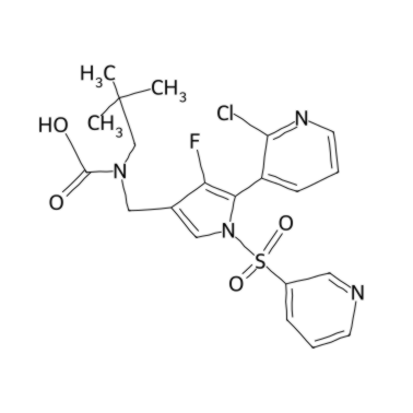 CC(C)(C)CN(Cc1cn(S(=O)(=O)c2cccnc2)c(-c2cccnc2Cl)c1F)C(=O)O